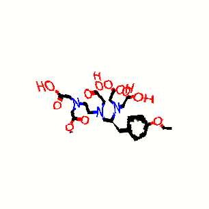 CCOc1ccc(C[C@@H](CN(CCN(CC(=O)O)CC(=O)OC)CC(=O)O)N(CC(=O)O)CC(=O)O)cc1